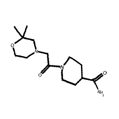 CC1(C)CN(CC(=O)N2CCC(C(N)=O)CC2)CCO1